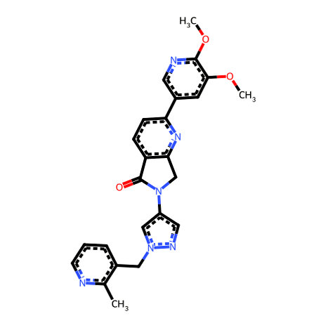 COc1cc(-c2ccc3c(n2)CN(c2cnn(Cc4cccnc4C)c2)C3=O)cnc1OC